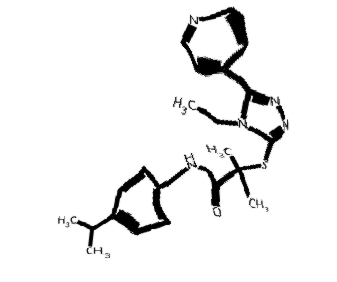 CCn1c(SC(C)(C)C(=O)Nc2ccc(C(C)C)cc2)nnc1-c1ccncc1